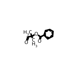 CC(C)([C]=O)OC(=O)c1ccccc1